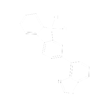 C[Si]1(C)c2ccccc2-c2ccc(-c3cccc4ocnc34)cc21